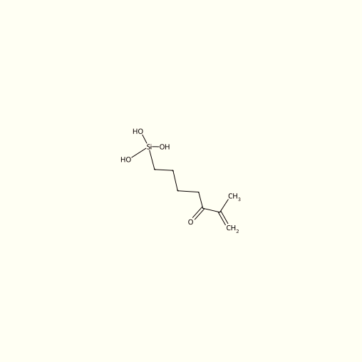 C=C(C)C(=O)CCCC[Si](O)(O)O